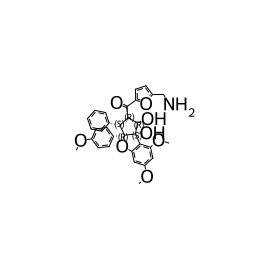 COc1ccc([C@@]23Oc4cc(OC)cc(OC)c4[C@]2(O)[C@H](O)[C@H](C(=O)c2ccc(CN)o2)[C@H]3c2ccccc2)cc1